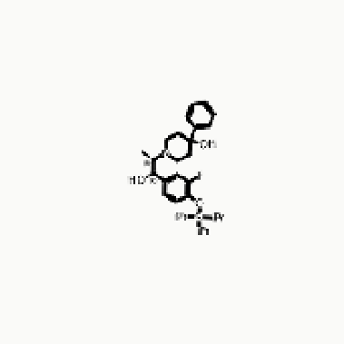 CC(C)[Si](Oc1ccc([C@@H](O)[C@@H](C)N2CCC(O)(c3ccccc3)CC2)cc1F)(C(C)C)C(C)C